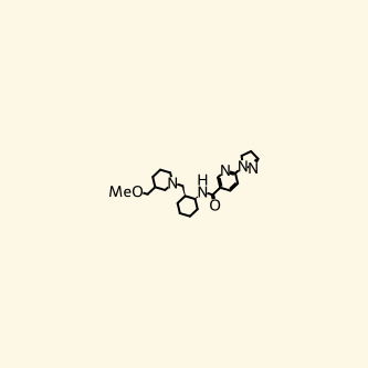 COCC1CCCN(C[C@@H]2CCCC[C@H]2NC(=O)c2ccc(N3CCC=N3)nc2)C1